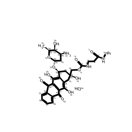 CCCNC(=O)CCNC(=O)OC[C@]1(O)Cc2c(O)c3c(c(O)c2[C@@H](O[C@H]2C[C@H](N)[C@H](O)[C@H](C)O2)C1)C(=O)c1ccccc1C3=O.Cl